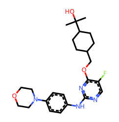 CC(C)(O)C1CCC(COc2nc(Nc3ccc(N4CCOCC4)cc3)ncc2F)CC1